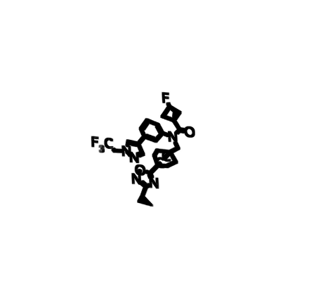 O=C(N(CC12CCC(c3nc(C4CC4)no3)(CC1)CC2)c1cccc(-c2cnn(CC(F)(F)F)c2)c1)C12CC(F)(C1)C2